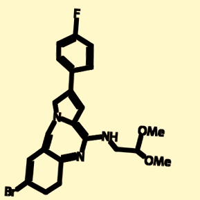 COC(CNC1=C2C=C(c3ccc(F)cc3)CN2C=C2C=C(Br)CCC2=N1)OC